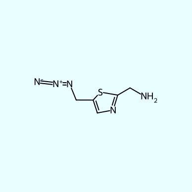 [N-]=[N+]=NCc1cnc(CN)s1